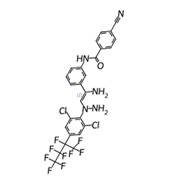 N#Cc1ccc(C(=O)Nc2cccc(/C(N)=C/N(N)c3c(Cl)cc(C(F)(C(F)(F)F)C(F)(F)C(F)(F)F)cc3Cl)c2)cc1